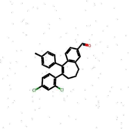 Cc1ccc(C2=C(c3ccc(Cl)cc3Cl)CCCc3cc(C=O)ccc32)cc1